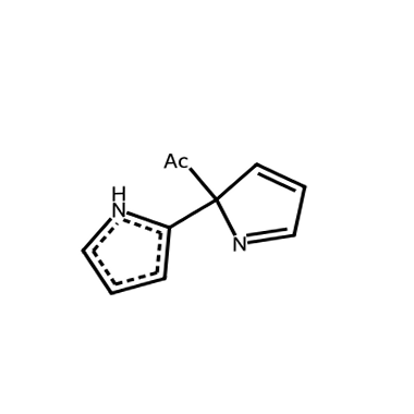 CC(=O)C1(c2ccc[nH]2)C=CC=N1